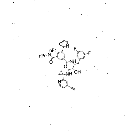 C#Cc1ccnc(C2(NC[C@@H](O)[C@H](Cc3cc(F)cc(F)c3)NC(=O)c3cc(C(=O)N(CCC)CCC)cc(-c4ncco4)c3)CC2)c1